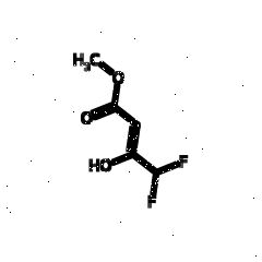 COC(=O)C=C(O)C(F)F